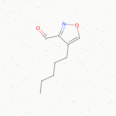 CCCCCc1conc1[C]=O